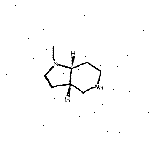 CN1CC[C@H]2CNCC[C@H]21